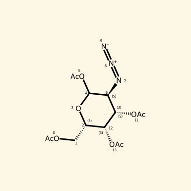 CC(=O)OC[C@@H]1OC(OC(C)=O)[C@@H](N=[N+]=[N-])[C@H](OC(C)=O)[C@@H]1OC(C)=O